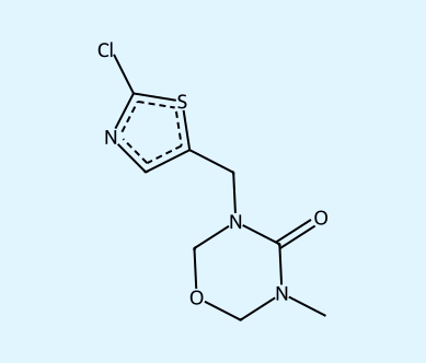 CN1COCN(Cc2cnc(Cl)s2)C1=O